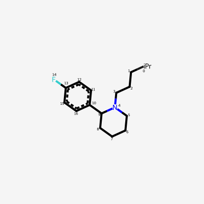 CC(C)CCCN1CCCCC1c1ccc(F)cc1